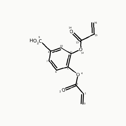 C=CC(=O)Oc1ccc(C(=O)O)cc1OC(=O)C=C